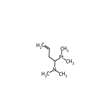 C=CC[CH](N(C)C)[Pt]([CH3])[CH3]